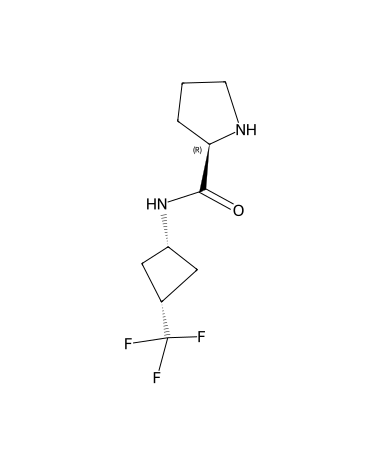 O=C(N[C@H]1C[C@@H](C(F)(F)F)C1)[C@H]1CCCN1